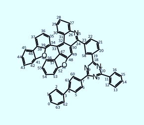 c1ccc(-c2ccc(-c3nc(-c4ccccc4)nc(-c4cccc(-c5nc6ccccc6c6c(-c7cccc8c7oc7ccccc78)c7c(cc56)oc5ccccc57)c4)n3)cc2)cc1